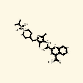 Cc1nn(CC2CCN(S(=O)(=O)C(C)C)CC2)c(C)c1NC(=O)c1cc(C(N)=O)c2ccccc2n1